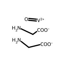 NCC(=O)[O-].NCC(=O)[O-].[O]=[V+2]